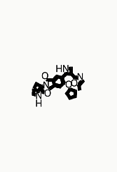 Cc1cnc(C2CNC2c2cc3c(cc2OC2CCCC2)CN(C24CC(CNC2=O)C4)C3=O)o1